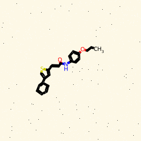 CCCOc1ccc(NC(=O)/C=C/c2cc(-c3ccccc3)cs2)cc1